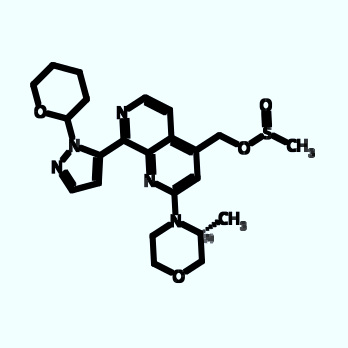 C[C@@H]1COCCN1c1cc(COS(C)=O)c2ccnc(-c3ccnn3C3CCCCO3)c2n1